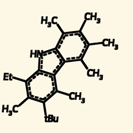 CCc1c(C)c(C(C)(C)C)c(C)c2c1[nH]c1c(C)c(C)c(C)c(C)c12